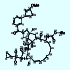 COc1nc(-c2cccc(C(=O)N3C[C@H]4CN5C(=O)[C@@H](NC(=O)OC(C)(C)C)CCCCC/C=C\[C@H]6C[C@@]6(C(=O)NS(=O)(=O)C6CC6)NC(=O)[C@@H]5[C@H]4C3)c2)cs1